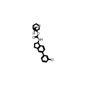 O=C(NC1CCc2cc(-c3cccc(Cl)c3)ccc21)O[C@H]1CN2CCC1CC2